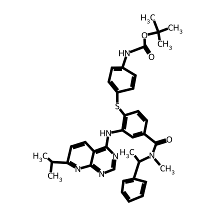 CC(C)c1ccc2c(Nc3cc(C(=O)N(C)C(C)c4ccccc4)ccc3Sc3ccc(NC(=O)OC(C)(C)C)cc3)ncnc2n1